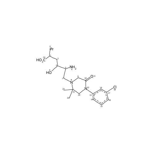 CC(C)C(CC(O)C(N)CN1CC(=O)N(c2cccc(Cl)c2)CC1(C)C)C(=O)O